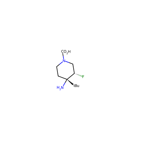 CC(C)(C)[C@@]1(N)CCN(C(=O)O)C[C@@H]1F